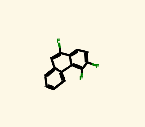 Fc1[c]cc2c(F)cc3c[c]ccc3c2c1F